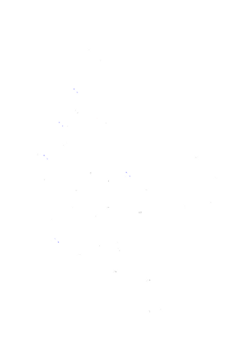 CCNC(=O)Nc1cc(-c2nc(C3CCCCC3)cs2)c(-c2cncc(C(=O)OCC)c2)cn1